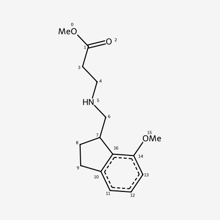 COC(=O)CCNCC1CCc2cccc(OC)c21